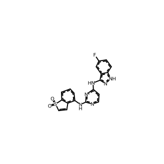 O=S1(=O)C=Cc2c(Nc3nccc(Nc4n[nH]c5ccc(F)cc45)n3)cccc21